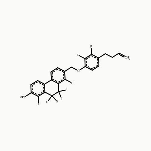 C=CCCc1ccc(OCc2ccc3c(c2F)C(F)(F)C(F)(F)c2c-3ccc(CCC)c2F)c(F)c1F